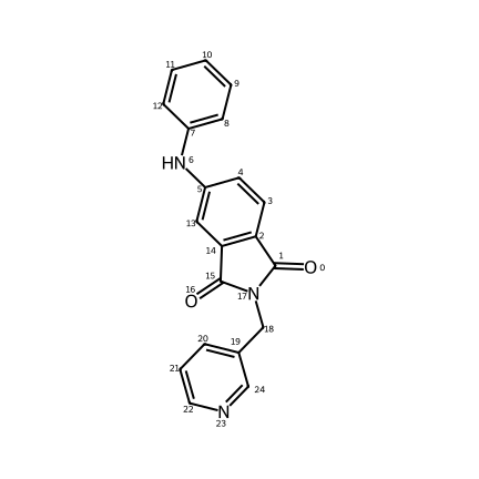 O=C1c2ccc(Nc3ccccc3)cc2C(=O)N1Cc1cccnc1